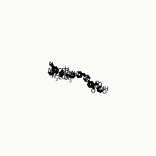 CC1(C)C(NC(=O)c2ccc(N3CCC(CN4CCN(c5ccc6c(c5)C(=O)N(C5CCC(=O)NC5=O)C6=O)CC4)CC3)nn2)C(C)(C)C1Oc1ccc(C#N)c2ncccc12